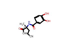 COC(=O)[C@@](C)(CCC#N)NC(=O)c1ccc(O)c(O)c1